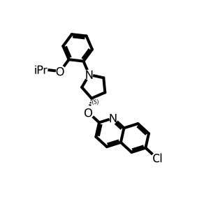 CC(C)Oc1ccccc1N1CC[C@H](Oc2ccc3cc(Cl)ccc3n2)C1